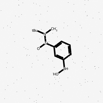 CN([S+]([O-])c1cccc(BO)c1)C(C)(C)C